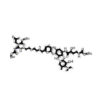 CN[C@H]1C[C@@H](NC(=O)[C@@H](O)CCNC(=O)OC(C)(C)C)[C@H](O[C@H]2OCC(C)[C@H](N(C)C)[C@H]2O)[C@@H](O)[C@@H]1O[C@@H]1CCC=C(CNCCOCCON/C(=N\C(=O)OC(C)(C)C)N(CC(F)F)C(=O)OC(C)(C)C)O1